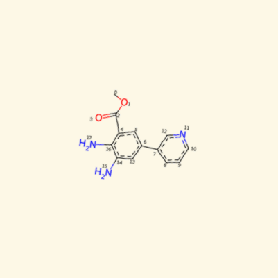 COC(=O)c1cc(-c2cccnc2)cc(N)c1N